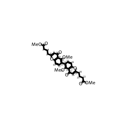 COC(=O)CCCc1cc(=O)c2c(OC)c(-c3ccc4oc(CCCC(=O)OC)cc(=O)c4c3OC)ccc2o1